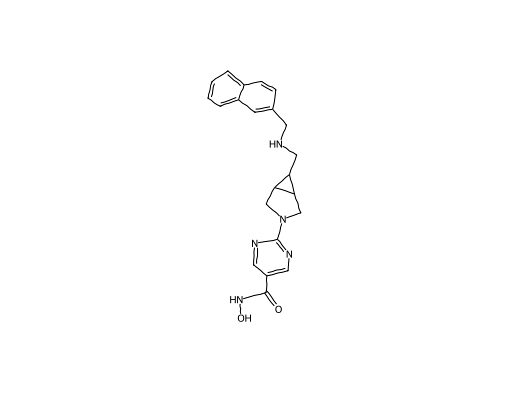 O=C(NO)c1cnc(N2CC3C(CNCc4ccc5ccccc5c4)C3C2)nc1